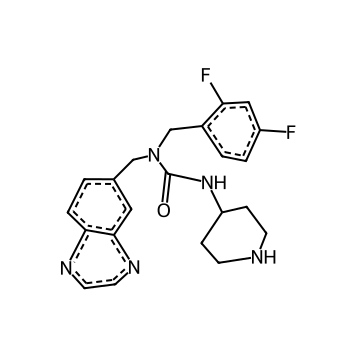 O=C(NC1CCNCC1)N(Cc1ccc2nccnc2c1)Cc1ccc(F)cc1F